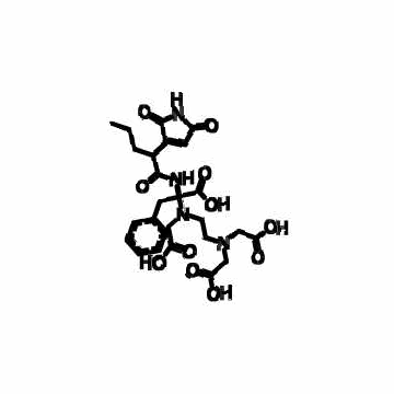 CCCC(C(=O)NC(Cc1ccccc1)(C(=O)O)N(CCN(CC(=O)O)CC(=O)O)CC(=O)O)C1=CC(=O)NC1=O